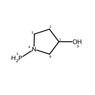 OC1CCN(P)C1